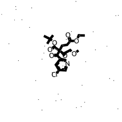 CCOC(=O)CCC(C(=O)COC)(C(=O)OC(C)(C)C)C(=O)c1cncc(Cl)c1